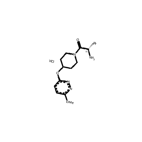 COc1ccc(OC2CCN(C(=O)[C@@H](N)C(C)C)CC2)nn1.Cl